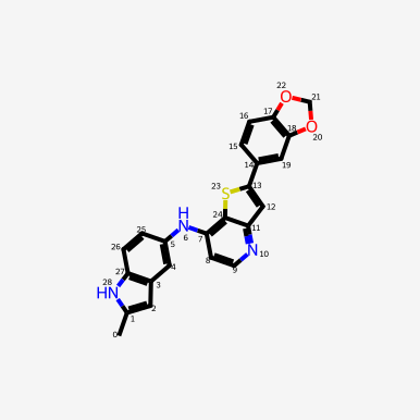 Cc1cc2cc(Nc3ccnc4cc(-c5ccc6c(c5)OCO6)sc34)ccc2[nH]1